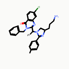 Cc1ccc(C2=NC(CCCN)CN2C(c2nc3cc(Cl)ccc3c(=O)n2Cc2ccccc2)C(C)C)cc1